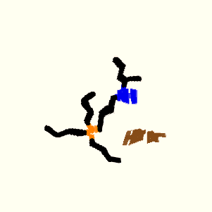 Br.CCCC[P+](CCCC)(CCCC)CCCCNC(C)CCC.[Br-]